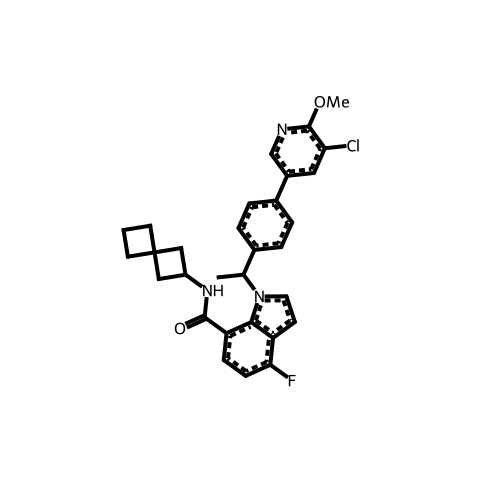 COc1ncc(-c2ccc(C(C)n3ccc4c(F)ccc(C(=O)NC5CC6(CCC6)C5)c43)cc2)cc1Cl